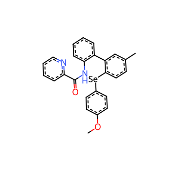 COc1ccc([Se]c2ccc(C)cc2-c2ccccc2NC(=O)c2ccccn2)cc1